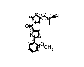 COc1ccccc1-c1nc(C(=O)N2CC[C@@H](CNC#N)C2)cs1